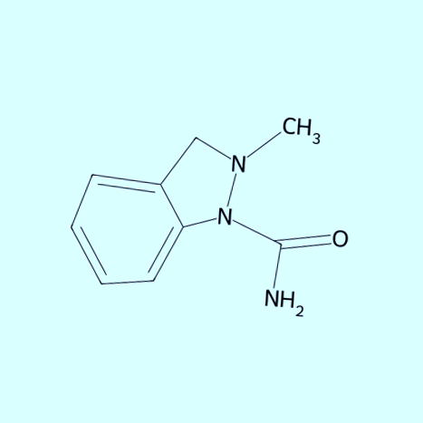 CN1Cc2ccccc2N1C(N)=O